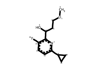 COCCC(O)c1nc(C2CC2)ccc1F